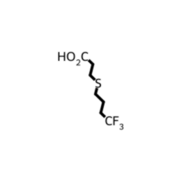 O=C(O)CCSCCCC(F)(F)F